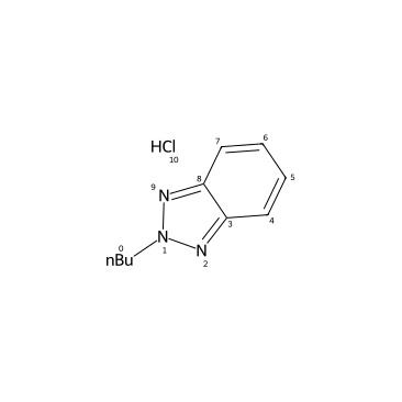 CCCCn1nc2ccccc2n1.Cl